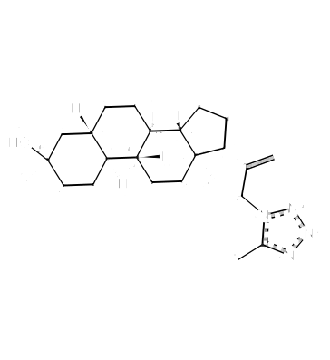 C=C(Cn1nnnc1C)[C@H]1CC[C@H]2[C@@H]3CC[C@H]4C[C@](C)(O)CC[C@@H]4[C@H]3CC[C@]12C